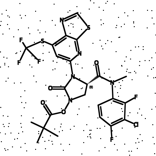 CN(C(=O)[C@@H]1CN(OC(=O)C(C)(C)C)C(=O)N1c1cc(SC(F)(F)F)c2ncsc2n1)c1ccc(F)c(Cl)c1F